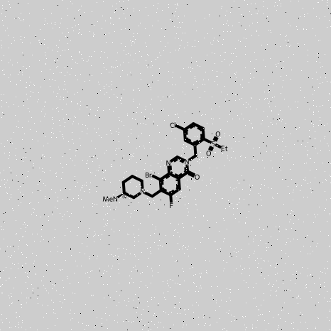 CCS(=O)(=O)c1ccc(Cl)cc1Cn1cnc2c(Br)c(CN3CCC[C@H](NC)C3)c(F)cc2c1=O